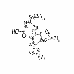 CSc1nc(C(=O)O)c(-c2ccc(OC(C)=O)c(OC(C)=O)c2)s1